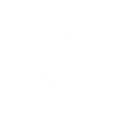 CCCCCCCCCCCCCCC#CC(=O)CCCOCc1ccc(OC)cc1